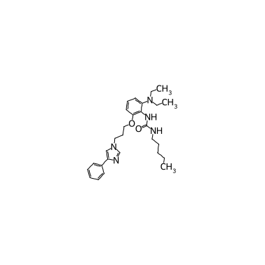 CCCCCNC(=O)Nc1c(OCCCn2cnc(-c3ccccc3)c2)cccc1N(CC)CC